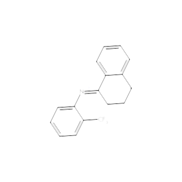 FC(F)(F)c1ccccc1/N=C1\CCCc2ccccc21